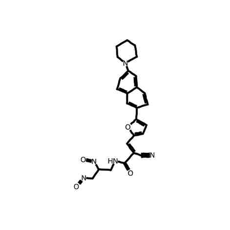 N#C/C(=C\c1ccc(-c2ccc3cc(N4CCCCC4)ccc3c2)o1)C(=O)NCC(CN=O)N=O